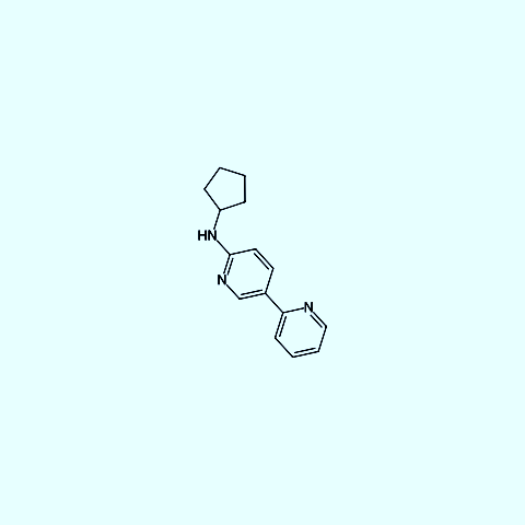 c1ccc(-c2ccc(NC3CCCC3)nc2)nc1